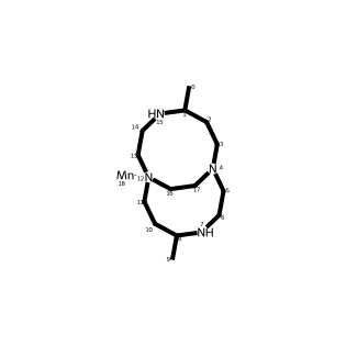 CC1CCN2CCNC(C)CCN(CCN1)CC2.[Mn]